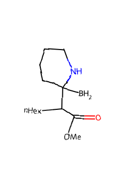 BC1(C(CCCCCC)C(=O)OC)CCCCN1